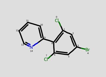 Clc1cc(Br)cc(Cl)c1-c1ccccn1